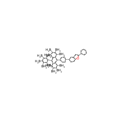 Bc1c(B)c(B)c(-c2c3c(B)c(B)c(B)c(B)c3c(-c3ccc(-c4ccc5oc(-c6ccccc6)cc5c4)cc3)c3c(B)c(B)c(B)c(B)c23)c(B)c1B